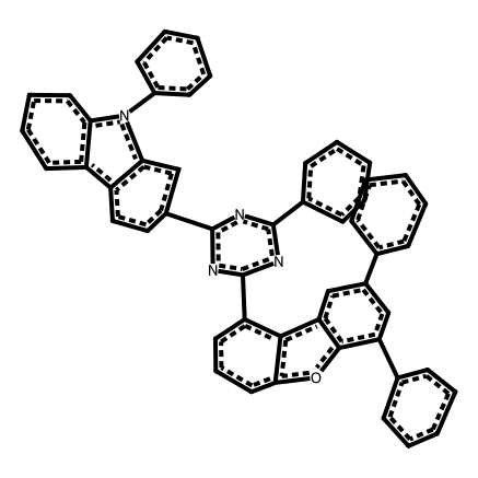 c1ccc(-c2cc(-c3ccccc3)c3oc4cccc(-c5nc(-c6ccccc6)nc(-c6ccc7c8ccccc8n(-c8ccccc8)c7c6)n5)c4c3c2)cc1